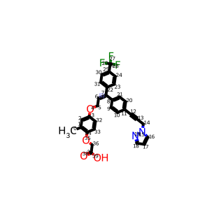 Cc1cc(OC/C=C(\c2ccc(C#CCn3cccn3)cc2)c2ccc(C(F)(F)F)cc2)ccc1OCC(=O)O